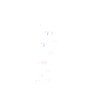 CC(C)C[C@H](COP(=O)(S)OC(C)C)O[C@H](CO)n1ccc(=O)[nH]c1=O